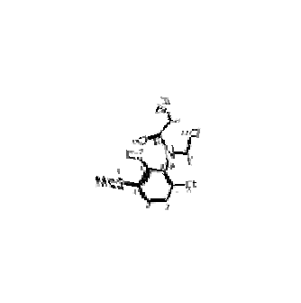 CCc1ccc(SC)c(CC)c1N(CCl)C(=O)CBr